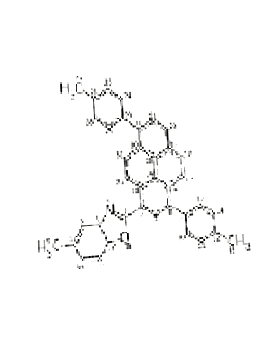 CC1=CC2N=C(c3cc(-c4ccc(C)cc4)c4ccc5ccc(-c6ccc(C)cc6)c6ccc3c4c56)OC2C=C1